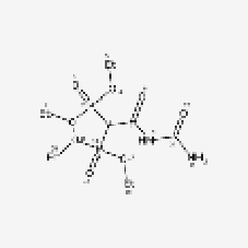 CCOP(=O)(OCC)[C](C(=O)NC(N)=O)P(=O)(OCC)OCC